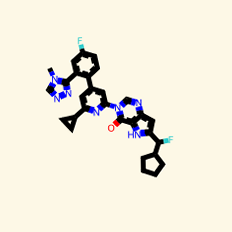 Cn1cnnc1-c1cc(F)ccc1-c1cc(C2CC2)nc(-n2cnc3cc(C(F)C4CCCC4)[nH]c3c2=O)c1